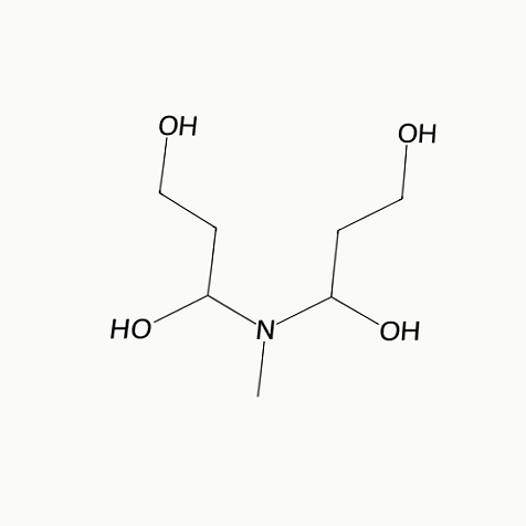 CN(C(O)CCO)C(O)CCO